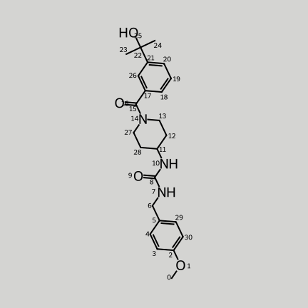 COc1ccc(CNC(=O)NC2CCN(C(=O)c3cccc(C(C)(C)O)c3)CC2)cc1